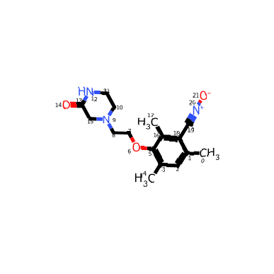 Cc1cc(C)c(OCCN2CCNC(=O)C2)c(C)c1C#[N+][O-]